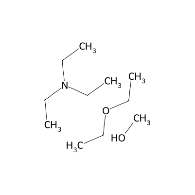 CCN(CC)CC.CCOCC.CO